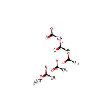 CC(=O)[O-].CC(=O)[O-].CC(=O)[O-].CC(=O)[O-].CC(=O)[O-].[Au+3].[Mg+2]